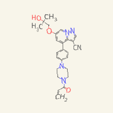 C=CC(=O)N1CCN(c2ccc(-c3cc(OCC(C)(C)O)cn4ncc(C#N)c34)cc2)CC1